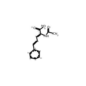 CC(=O)NC(=CC=Cc1ccccc1)C(=O)O